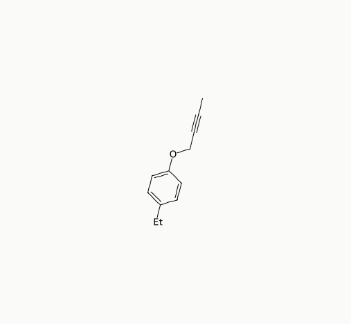 CC#CCOc1ccc(CC)cc1